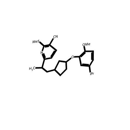 COc1ccc(C(C)C)cc1OC1CCC(CC(C)c2ccc(C#N)c(SC)n2)C1